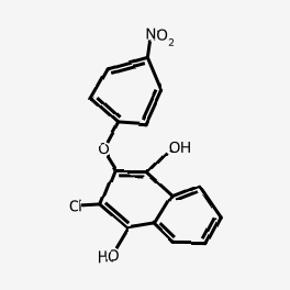 O=[N+]([O-])c1ccc(Oc2c(Cl)c(O)c3ccccc3c2O)cc1